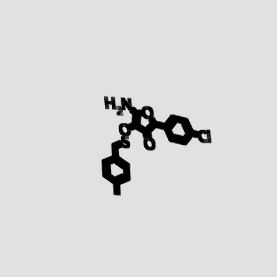 Cc1ccc(CSOC2=C(N)OC(c3ccc(Cl)cc3)C2=O)cc1